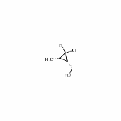 C[C@H]1[C@@H](CO)C1(Cl)Cl